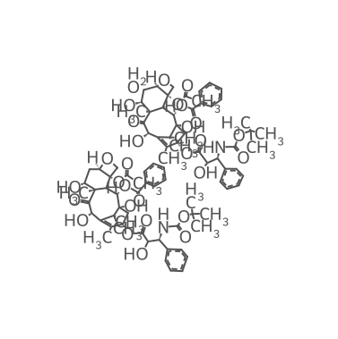 CC(=O)O[C@@]12CO[C@@H]1C[C@H](O)[C@@]1(C)C(=O)[C@H](O)C3=C(C)[C@@H](OC(=O)C(O)[C@@H](NC(=O)OC(C)(C)C)c4ccccc4)C[C@@](O)([C@@H](OC(=O)c4ccccc4)[C@H]21)C3(C)C.CC(=O)O[C@@]12CO[C@@H]1C[C@H](O)[C@@]1(C)C(=O)[C@H](O)C3=C(C)[C@@H](OC(=O)C(O)[C@@H](NC(=O)OC(C)(C)C)c4ccccc4)C[C@@](O)([C@@H](OC(=O)c4ccccc4)[C@H]21)C3(C)C.O